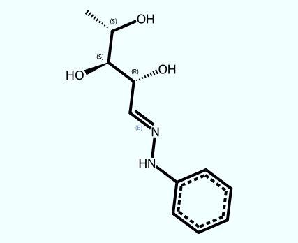 C[C@H](O)[C@H](O)[C@H](O)/C=N/Nc1ccccc1